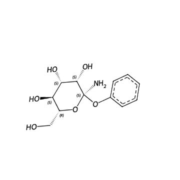 N[C@]1(Oc2ccccc2)O[C@H](CO)[C@@H](O)[C@H](O)[C@@H]1O